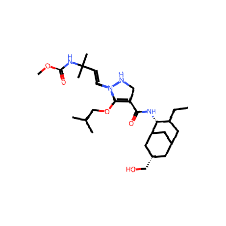 CCC1CC2CC(C[C@@H](CO)C2)[C@@H]1NC(=O)C1=C(OCC(C)C)N(/C=C/C(C)(C)NC(=O)OC)NC1